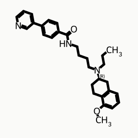 CCCN(CCCCNC(=O)c1ccc(-c2cccnc2)cc1)[C@@H]1CCc2c(cccc2OC)C1